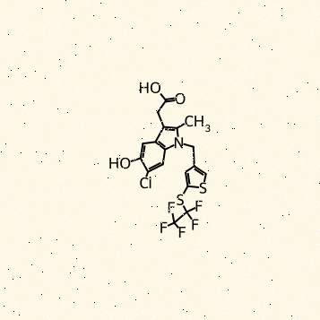 Cc1c(CC(=O)O)c2cc(O)c(Cl)cc2n1Cc1csc(SC(F)(F)C(F)(F)F)c1